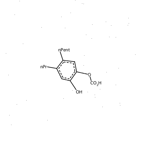 CCCCCc1cc(OC(=O)O)c(O)cc1CCC